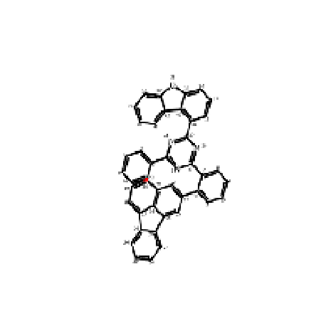 c1ccc(-c2nc(-c3ccccc3-c3cc4c5c(cccc5c3)-c3ccccc3-4)nc(-c3cccc4oc5ccccc5c34)n2)cc1